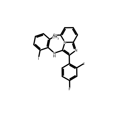 CCc1cccc2nc(-c3ccc(F)cc3I)c(Nc3c(C)cccc3I)n12